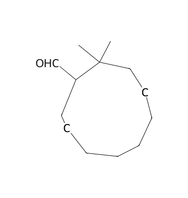 CC1(C)CCCCCCCCC1C=O